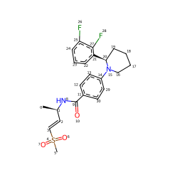 C[C@H](/C=C/S(C)(=O)=O)NC(=O)c1ccc(N2CCCC[C@@H]2c2cccc(F)c2F)cc1